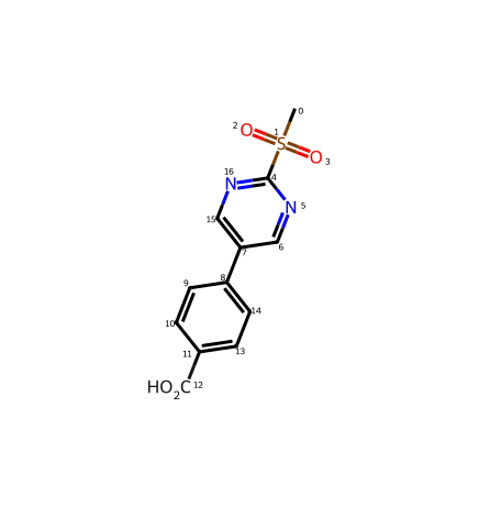 CS(=O)(=O)c1ncc(-c2ccc(C(=O)O)cc2)cn1